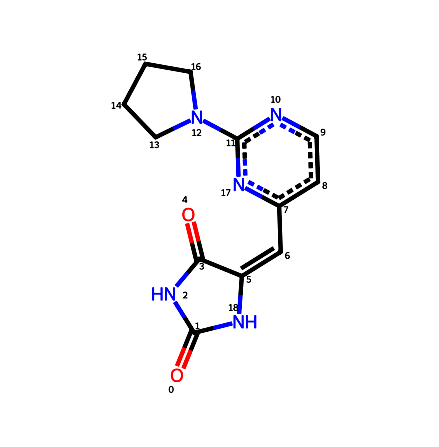 O=C1NC(=O)/C(=C\c2ccnc(N3CCCC3)n2)N1